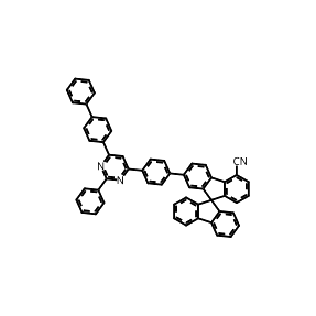 N#Cc1cccc2c1-c1ccc(-c3ccc(-c4cc(-c5ccc(-c6ccccc6)cc5)nc(-c5ccccc5)n4)cc3)cc1C21c2ccccc2-c2ccccc21